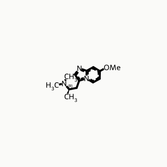 COc1ccn2c(C[C@@H](C)N(C)C)cnc2c1